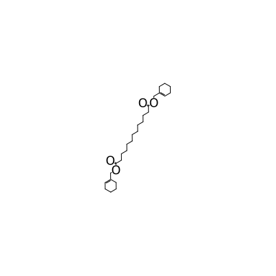 O=C(CCCCCCCCCCCC(=O)OCC1=CCCCC1)OCC1=CCCCC1